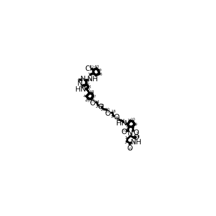 O=C1CCC(N2C(=O)c3cccc(NCCOCCOCCOCCOc4ccc(-c5cc6c(NCc7ccccc7Cl)ncnc6[nH]5)cc4)c3C2=O)C(=O)N1